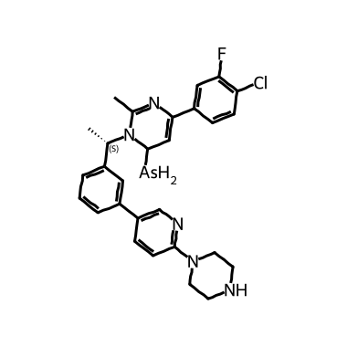 CC1=NC(c2ccc(Cl)c(F)c2)=CC([AsH2])N1[C@@H](C)c1cccc(-c2ccc(N3CCNCC3)nc2)c1